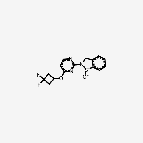 [O-][S+]1c2ccccc2CN1c1nccc(OC2CC(F)(F)C2)n1